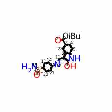 CC(C)COC(=O)c1ccc2[nH]c(O)c(/C=N/c3ccc([S+](N)[O-])cc3)c2c1